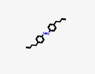 C=CCCc1ccc(/N=N/c2ccc(CCC=C)cc2)cc1